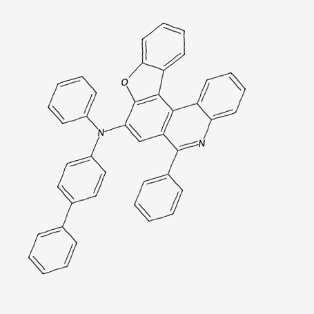 c1ccc(-c2ccc(N(c3ccccc3)c3cc4c(-c5ccccc5)nc5ccccc5c4c4c3oc3ccccc34)cc2)cc1